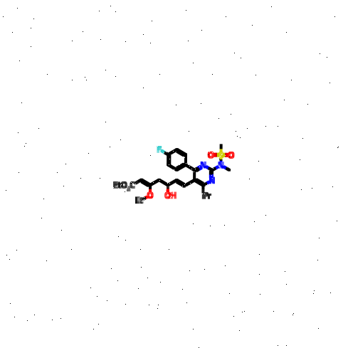 CCOC(=O)/C=C(/C[C@H](O)/C=C/c1c(-c2ccc(F)cc2)nc(N(C)S(C)(=O)=O)nc1C(C)C)OCC